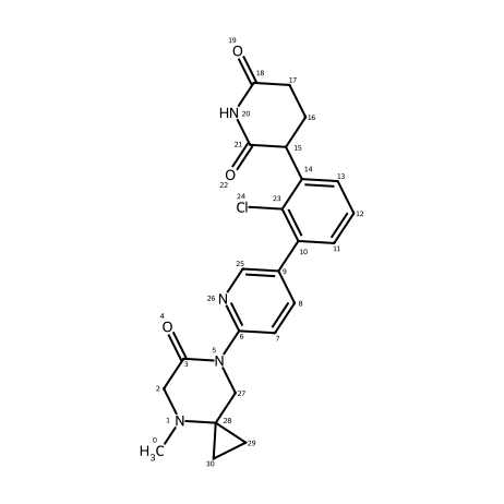 CN1CC(=O)N(c2ccc(-c3cccc(C4CCC(=O)NC4=O)c3Cl)cn2)CC12CC2